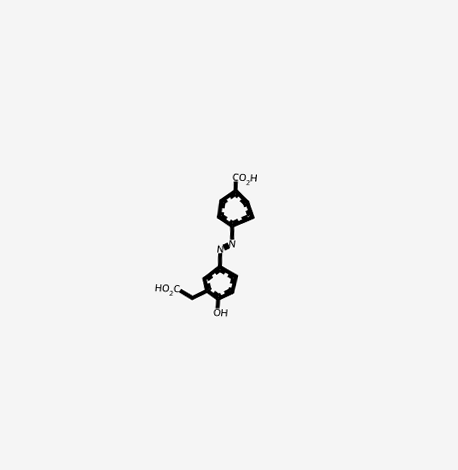 O=C(O)Cc1cc(N=Nc2ccc(C(=O)O)cc2)ccc1O